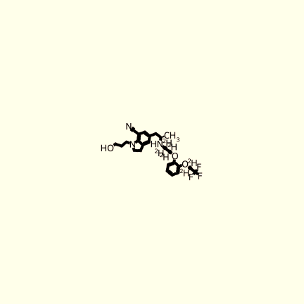 [2H]C([2H])(N[C@H](C)Cc1cc(C#N)c2c(c1)CCN2CCCO)C([2H])([2H])Oc1ccccc1OC([2H])([2H])C(F)(F)F